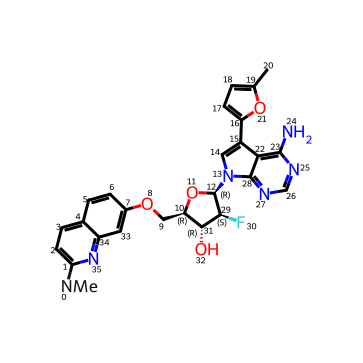 CNc1ccc2ccc(OC[C@H]3O[C@@H](n4cc(-c5ccc(C)o5)c5c(N)ncnc54)[C@@H](F)[C@@H]3O)cc2n1